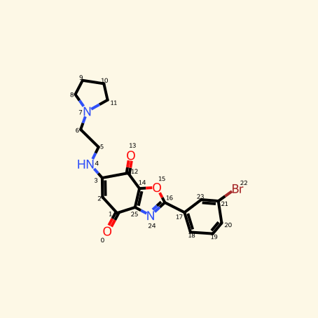 O=C1C=C(NCCN2CCCC2)C(=O)c2oc(-c3cccc(Br)c3)nc21